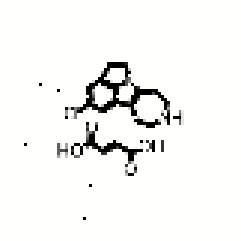 Clc1cc2c3c(c1)c1c(n3CC2)CCNCC1.O=C(O)C=CC(=O)O